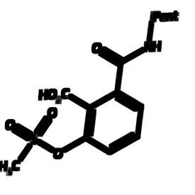 CCCC(C)NC(=O)c1cccc(OS(C)(=O)=O)c1C(=O)O